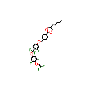 CCCCCC1COC(C2CCC(COc3ccc(C(F)(F)Oc4cc(F)c(OC=C(F)F)c(F)c4)c(F)c3)CC2)OC1